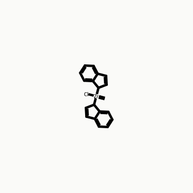 [CH2]=[Zr]([Cl])([CH]1C=Cc2ccccc21)[CH]1C=Cc2ccccc21